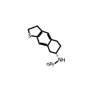 CCCN[C@H]1CCc2cc3c(cc2C1)SCC3